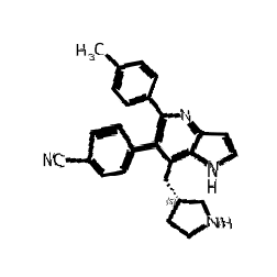 Cc1ccc(-c2nc3cc[nH]c3c(C[C@H]3CCNC3)c2-c2ccc(C#N)cc2)cc1